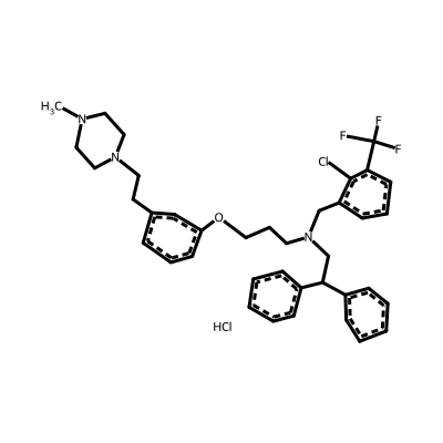 CN1CCN(CCc2cccc(OCCCN(Cc3cccc(C(F)(F)F)c3Cl)CC(c3ccccc3)c3ccccc3)c2)CC1.Cl